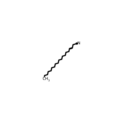 CCCCCCCCCCCCCCCC=CCC#N